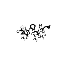 C=CC1CC1(NC(=O)[C@@H]1CCCN1C(=O)[C@@H](NC(=O)CC1CC1)C(C)(C)C)C(=O)O